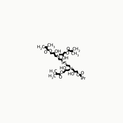 C=C(C)C(=O)OCC(O)CN(CCSSCCN(CC(O)COC(=O)C(=C)C)CC(O)COC(=O)C(C)C)CC(O)COC(=O)C(=C)C